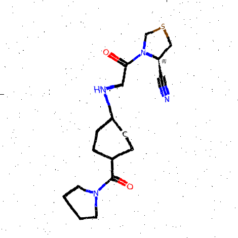 N#C[C@@H]1CSCN1C(=O)CNC1CCC(C(=O)N2CCCC2)CC1